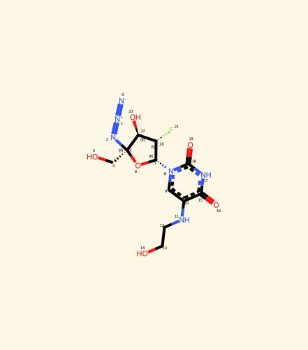 [N-]=[N+]=N[C@]1(CO)O[C@@H](n2cc(NCCO)c(=O)[nH]c2=O)[C@@H](F)[C@@H]1O